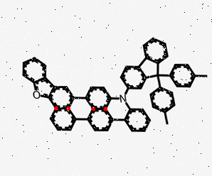 Cc1ccc(C2(c3ccc(C)cc3)c3ccccc3-c3ccc(N(c4ccc(-c5ccc6oc7ccccc7c6c5)cc4)c4ccccc4-c4ccc(-c5ccccc5)cc4)cc32)cc1